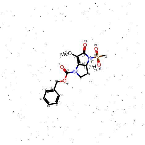 COC1=C2[C@H](CCN2C(=O)OCc2ccccc2)N(S(C)(=O)=O)C1=O